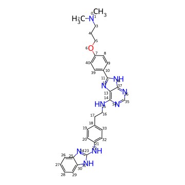 CN(C)CCCOc1ccc(-c2nc3c(NCCc4ccc(Nc5nc6ccccc6[nH]5)cc4)ncnc3[nH]2)cc1